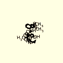 COc1cc2c(cc1OC)C(NC(=O)[C@@H]1C[C@@H](O)CN1C(=O)[C@@H](n1cc(C3CC3)nn1)C(C)(C)C)CCCC2